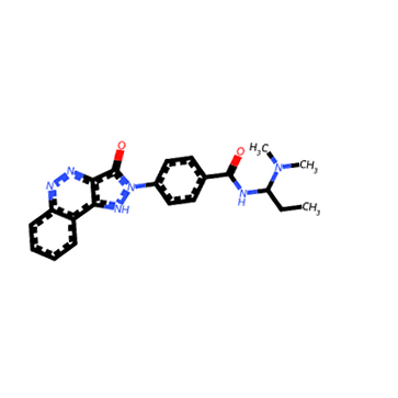 CCC(NC(=O)c1ccc(-n2[nH]c3c(nnc4ccccc43)c2=O)cc1)N(C)C